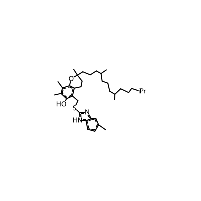 Cc1ccc2[nH]c(SCc3c(O)c(C)c(C)c4c3CCC(C)(CCCC(C)CCCC(C)CCCC(C)C)O4)nc2c1